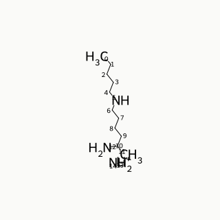 CCCCCNCCCCC(C)N.[Li+].[NH2-]